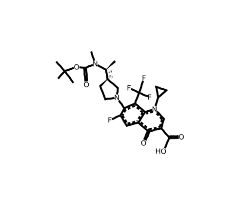 C[C@@H]([C@@H]1CCN(c2c(F)cc3c(=O)c(C(=O)O)cn(C4CC4)c3c2C(F)(F)F)C1)N(C)C(=O)OC(C)(C)C